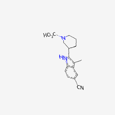 Cc1c(C2CCCN(C(=O)O)C2)[nH]c2ccc(C#N)cc12